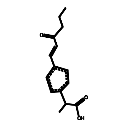 CCCC(=O)C=Cc1ccc(C(C)C(=O)O)cc1